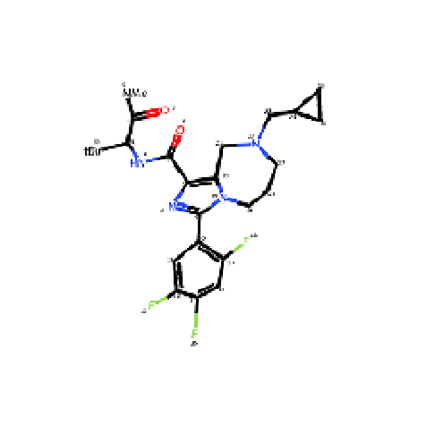 CNC(=O)C(NC(=O)c1nc(-c2cc(F)c(F)cc2F)n2c1CN(CC1CC1)CCC2)C(C)(C)C